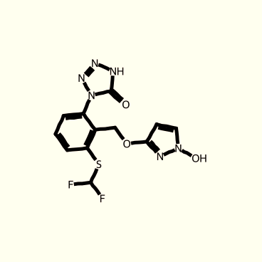 O=c1[nH]nnn1-c1cccc(SC(F)F)c1COc1ccn(O)n1